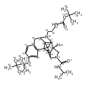 CC(C)NC(=O)N1C[C@H]2CC34CCC1C2C31CCN(CCNC(=O)OC(C)(C)C)C4Cc2ccc(O[Si](C)(C)C(C)(C)C)cc21